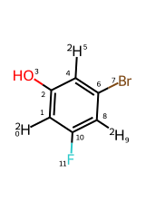 [2H]c1c(O)c([2H])c(Br)c([2H])c1F